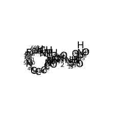 C[C@H]1NC(=N)c2cc(N3CCN(C(=O)CNc4cccc5c4CN(C4CCC(=O)NC4=O)C5=O)CC3)c(=O)n(c2N)CCCCCCCCN2CCC(CC2)C(F)(F)c2cccc1c2